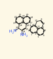 C1=Cc2cccc3cccc(c23)C1.NC1=Cc2cccc3cccc(c23)C1N